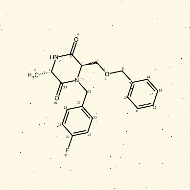 C[C@@H]1NC(=O)[C@@H](COCc2ccccc2)N(Cc2ccc(F)cc2)C1=O